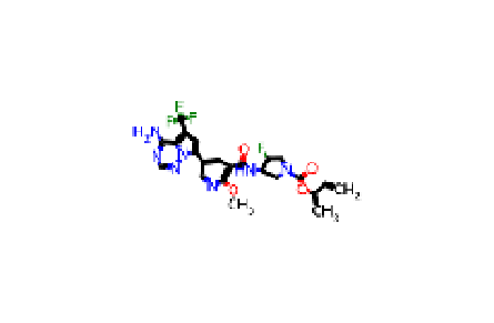 C=CC(C)OC(=O)N1C[C@H](F)[C@H](NC(=O)c2cc(-c3cc(C(F)(F)F)c4c(N)ncnn34)cnc2OC)C1